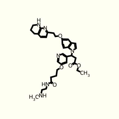 CCOC(=O)CC(c1cncc(OCCCC(=O)NCCNC)c1)n1ccc2cc(OCCc3ccc4c(n3)NCCC4)ccc21